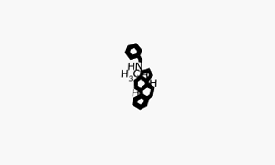 C[C@]12CC[C@@H]3c4ccccc4CC[C@H]3[C@@H]1CC[C@@H]2NCc1ccccc1